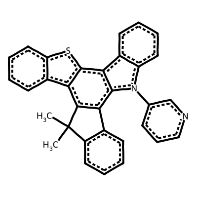 CC1(C)c2ccccc2-c2c1c1c3ccccc3sc1c1c3ccccc3n(-c3cccnc3)c21